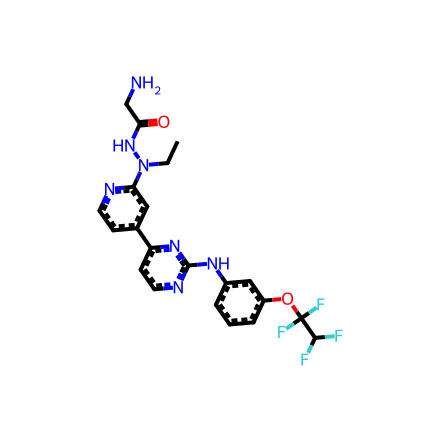 CCN(NC(=O)CN)c1cc(-c2ccnc(Nc3cccc(OC(F)(F)C(F)F)c3)n2)ccn1